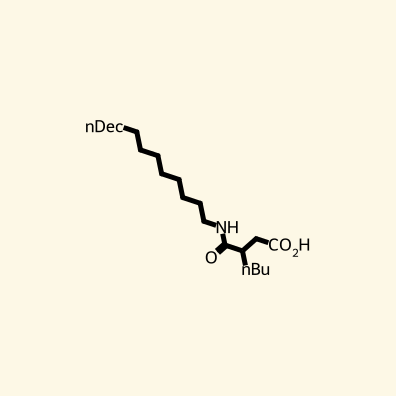 CCCCCCCCCCCCCCCCCCNC(=O)C(CCCC)CC(=O)O